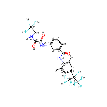 Cc1cc(C(F)(C(F)(F)F)C(F)(F)F)cc(C)c1NC(=O)c1cccc(NC(=O)C(=O)N(C)CC(F)(F)F)c1